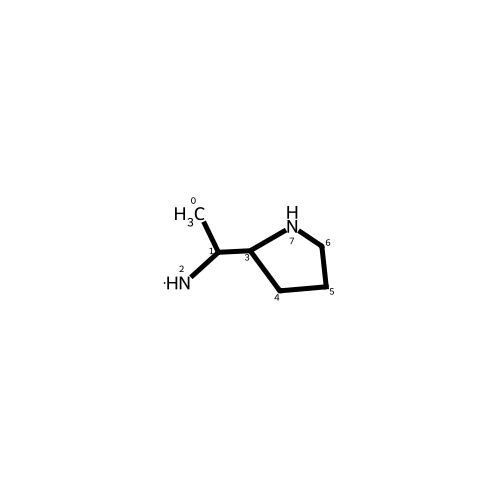 CC([NH])C1CCCN1